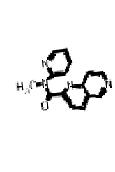 CN(C(=O)c1ccc2cnccc2n1)c1ccccn1